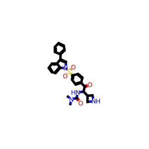 CN(C)C(=O)NC(C(=O)c1ccc(S(=O)(=O)n2cc(-c3ccccc3)c3ccccc32)cc1)C1CNC1